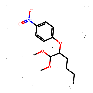 CCCCC(Oc1ccc([N+](=O)[O-])cc1)C(OC)OC